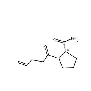 C=CCCC(=O)N1CCC[C@H]1C(N)=O